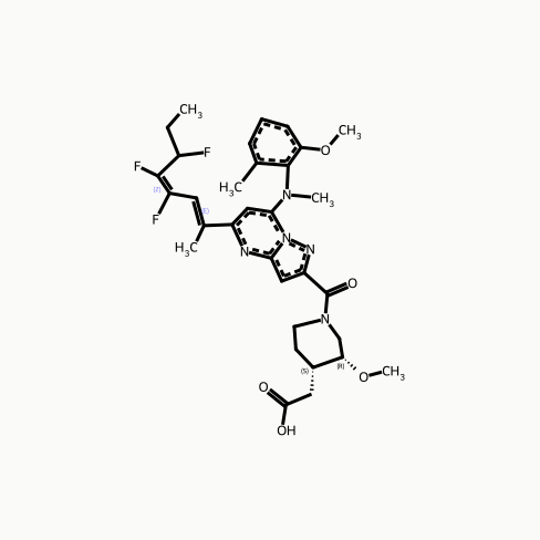 CCC(F)/C(F)=C(F)\C=C(/C)c1cc(N(C)c2c(C)cccc2OC)n2nc(C(=O)N3CC[C@@H](CC(=O)O)[C@@H](OC)C3)cc2n1